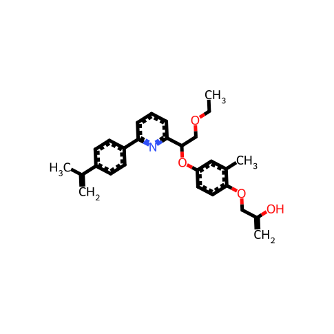 C=C(O)COc1ccc(OC(COCC)c2cccc(-c3ccc(C(=C)C)cc3)n2)cc1C